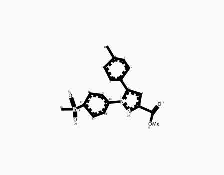 COC(=O)c1cc(-c2ccc(C)cc2)n(-c2ccc(S(C)(=O)=O)cc2)n1